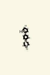 C[C@@H]1CC[C@@H](c2ccc(N3CCN(C)CC3)cc2)NC1